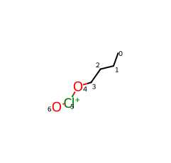 CCCCO[Cl+][O-]